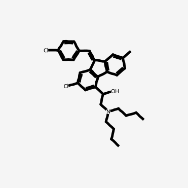 CCCCN(CCCC)CC(O)c1cc(Cl)cc2c1-c1ccc(C)cc1/C2=C/c1ccc(Cl)cc1